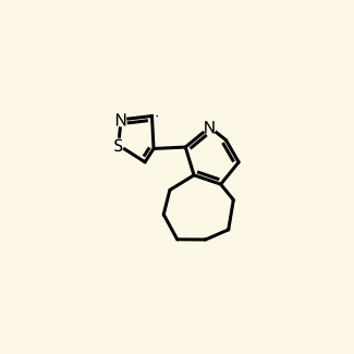 [c]1nscc1-c1nccc2c1CCCCCC2